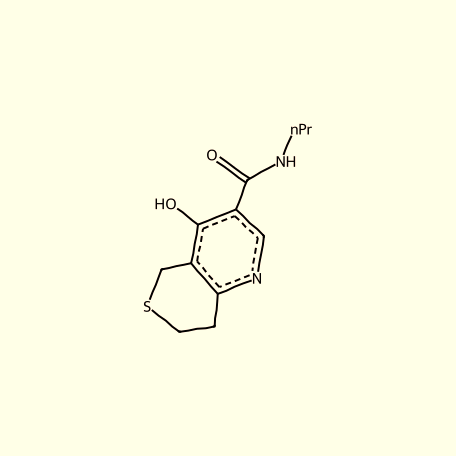 CCCNC(=O)c1cnc2c(c1O)CSCC2